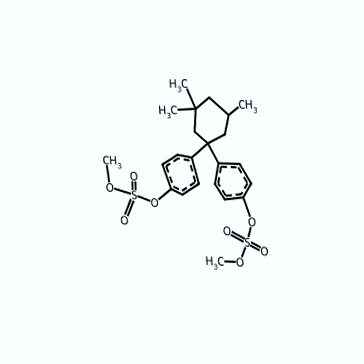 COS(=O)(=O)Oc1ccc(C2(c3ccc(OS(=O)(=O)OC)cc3)CC(C)CC(C)(C)C2)cc1